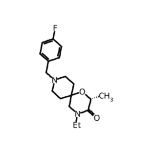 CCN1CC2(CCN(Cc3ccc(F)cc3)CC2)O[C@H](C)C1=O